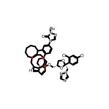 CCC(C)n1ncn(-c2ccc(N3CCN(C4=C\[C@H]5CCCCCC\C(=C(OC[C@@H]6CO[C@@](Cn7cncn7)(c7ccc(Cl)cc7Cl)O6)/C=C\4)C5)CC3)c(C3CCCCCCC3)c2)c1=O